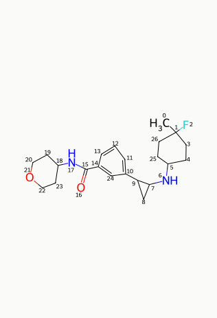 CC1(F)CCC(NC2CC2c2cccc(C(=O)NC3CCOCC3)c2)CC1